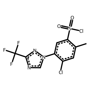 Cc1cc(Cl)c(-n2cnc(C(F)(F)F)n2)cc1S(=O)(=O)Cl